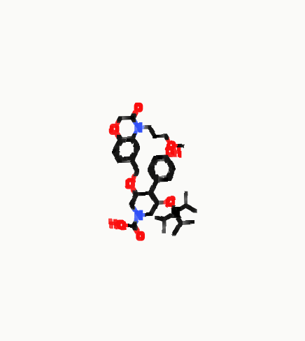 COCCCN1C(=O)COc2ccc(COC3CN(C(=O)O)CC(O[Si](C(C)C)(C(C)C)C(C)C)C3c3ccc(O)cc3)cc21